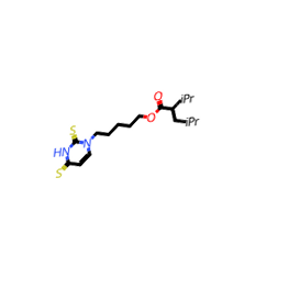 CC(C)CC(C(=O)OCCCCCn1ccc(=S)[nH]c1=S)C(C)C